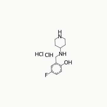 Cl.Cl.Oc1ccc(F)cc1CNC1CCNCC1